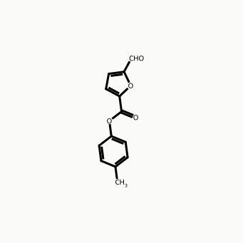 Cc1ccc(OC(=O)c2ccc(C=O)o2)cc1